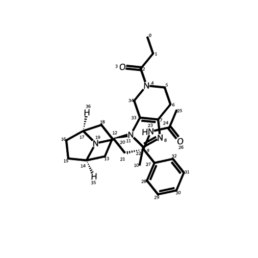 CCC(=O)N1CCc2nc(C)n([C@H]3C[C@H]4CC[C@@H](C3)N4CC[C@H](NC(C)=O)c3ccccc3)c2C1